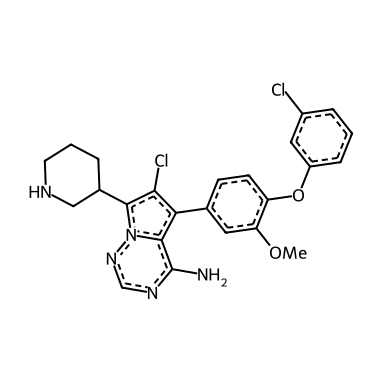 COc1cc(-c2c(Cl)c(C3CCCNC3)n3ncnc(N)c23)ccc1Oc1cccc(Cl)c1